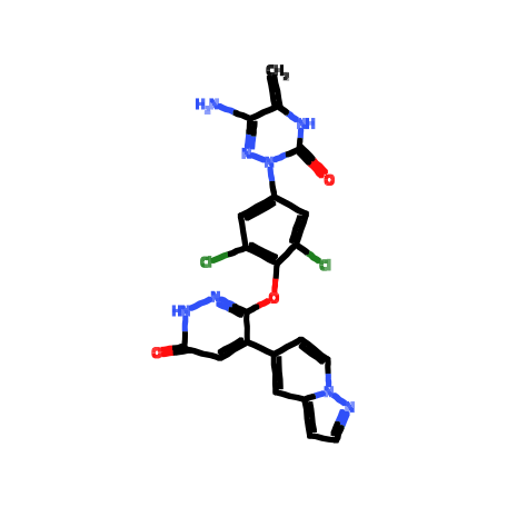 C=C1NC(=O)N(c2cc(Cl)c(Oc3n[nH]c(=O)cc3-c3ccn4nccc4c3)c(Cl)c2)N=C1N